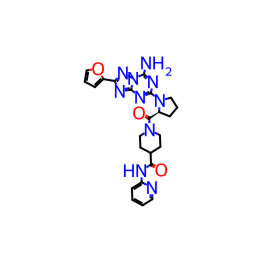 Nc1nc(N2CCC[C@H]2C(=O)N2CCC(C(=O)Nc3ccccn3)CC2)nc2nc(-c3ccco3)nn12